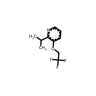 CC(C)c1ncccc1OCC(F)(F)F